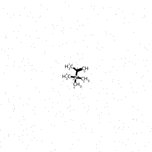 [CH]=C(C)[N+](C)(C)C